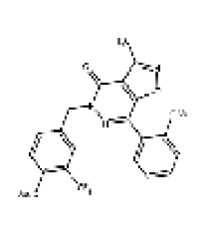 COc1ccccc1-c1nn(Cc2ccc(OC)c(C(F)(F)F)c2)c(=O)c2c(C)noc12